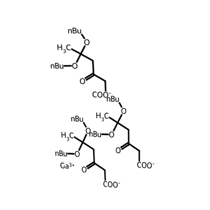 CCCCOC(C)(CC(=O)CC(=O)[O-])OCCCC.CCCCOC(C)(CC(=O)CC(=O)[O-])OCCCC.CCCCOC(C)(CC(=O)CC(=O)[O-])OCCCC.[Ga+3]